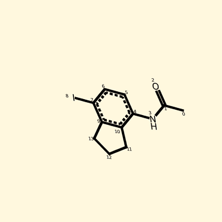 CC(=O)Nc1ccc(I)c2c1CCC2